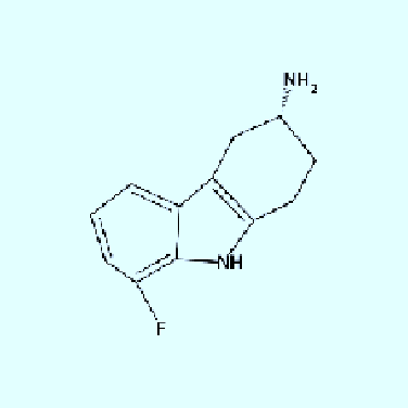 N[C@@H]1CCc2[nH]c3c(F)cccc3c2C1